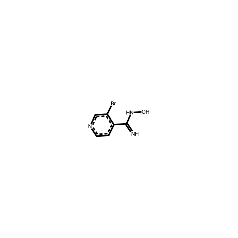 N=C(NO)c1ccncc1Br